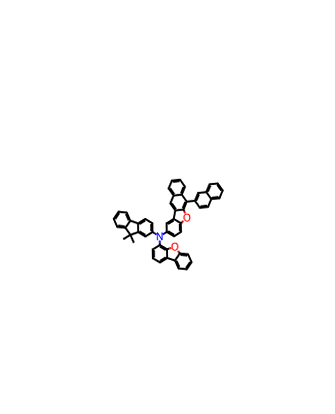 CC1(C)c2ccccc2-c2ccc(N(c3ccc4oc5c(-c6ccc7ccccc7c6)c6ccccc6cc5c4c3)c3cccc4c3oc3ccccc34)cc21